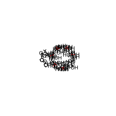 CC1(C)[C@H](C(=O)OCc2cccc(Oc3ccccc3)c2)[C@@H]1C=C(Cl)Cl.OC[C@H]1O[C@@H]2O[C@H]3[C@H](O)[C@@H](O)[C@@H](O[C@H]4[C@H](O)[C@@H](O)[C@@H](O[C@H]5[C@H](O)[C@@H](O)[C@@H](O[C@H]6[C@H](O)[C@@H](O)[C@@H](O[C@H]7[C@H](O)[C@@H](O)[C@@H](O[C@H]8[C@H](O)[C@@H](O)[C@@H](O[C@H]1[C@H](O)[C@H]2O)O[C@@H]8CO)O[C@@H]7CO)O[C@@H]6CO)O[C@@H]5CO)O[C@@H]4CO)O[C@@H]3CO